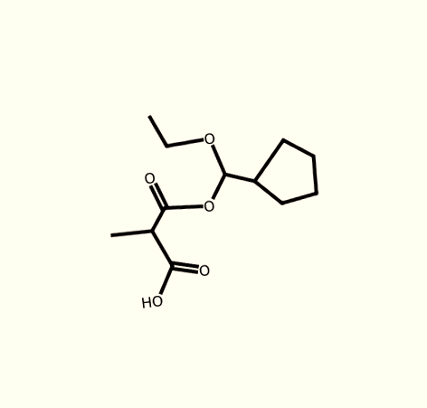 CCOC(OC(=O)C(C)C(=O)O)C1CCCC1